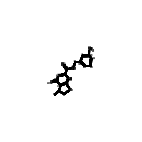 CC1CSc2[nH]c(C(=O)NCc3cccc(N)c3)nc(=O)c21